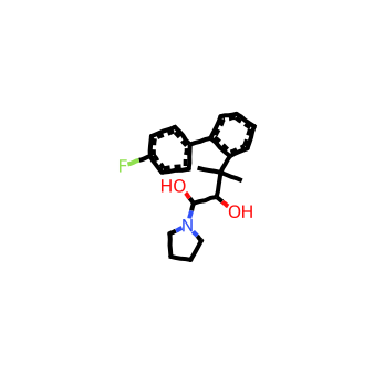 CC(C)(c1ccccc1-c1ccc(F)cc1)C(O)C(O)N1CCCC1